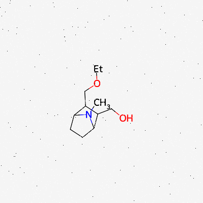 CCOCC1C(CO)C2CCC1N2C